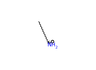 CCCCCCCCCCCCCCCCCC(C)(C)C(N)c1ccccc1